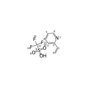 C=Cc1ccccn1.O=S(=O)(O)C(F)(F)F